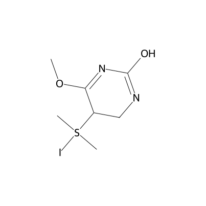 COC1=NC(O)=NCC1S(C)(C)I